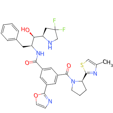 Cc1csc([C@H]2CCCN2C(=O)c2cc(C(=O)N[C@@H](Cc3ccccc3)[C@@H](O)[C@H]3CC(F)(F)CN3)cc(-c3ncco3)c2)n1